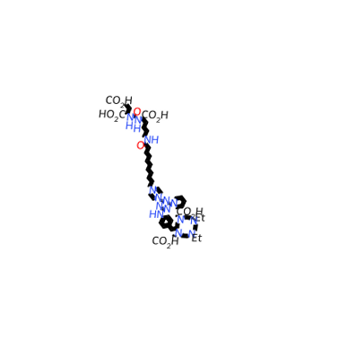 CCN1CCN(CC)CCN(CC(=O)O)C(Cc2ccc(Nc3nc(N4CCCCC4)nc(N4CCN(CCCCCCCCCCC(=O)NCCCC[C@H](NC(=O)N[C@@H](CCC(=O)O)C(=O)O)C(=O)O)CC4)n3)cc2)CN(CC(=O)O)CC1